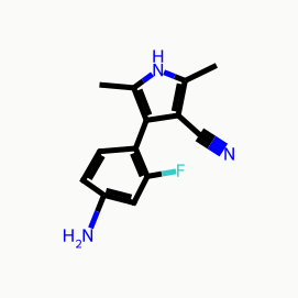 Cc1[nH]c(C)c(-c2ccc(N)cc2F)c1C#N